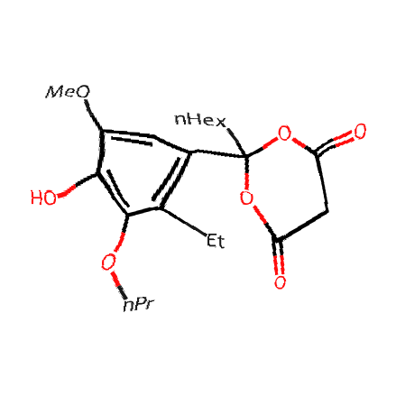 CCCCCCC1(c2cc(OC)c(O)c(OCCC)c2CC)OC(=O)CC(=O)O1